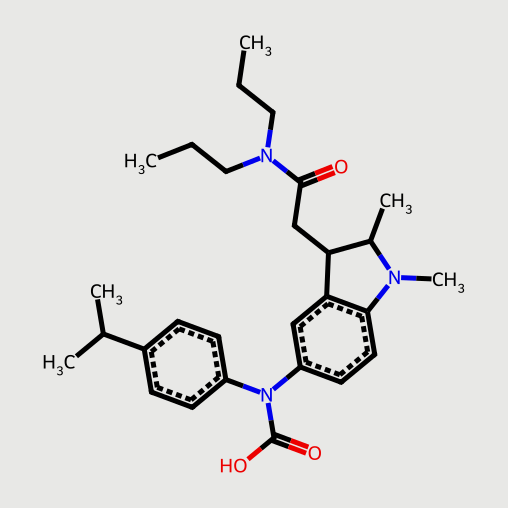 CCCN(CCC)C(=O)CC1c2cc(N(C(=O)O)c3ccc(C(C)C)cc3)ccc2N(C)C1C